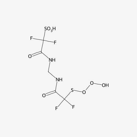 O=C(NCNC(=O)C(F)(F)S(=O)(=O)O)C(F)(F)SOOO